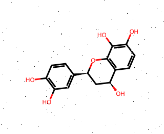 Oc1ccc([C@@H]2C[C@H](O)c3ccc(O)c(O)c3O2)cc1O